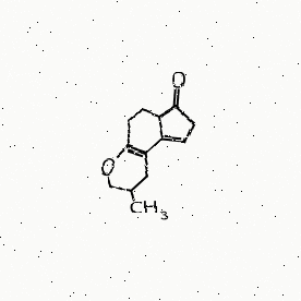 CC1COC2=C(C1)C1=CCC(=O)C1CC2